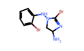 NC1CN(Nc2ccccc2Br)C(Br)=N1